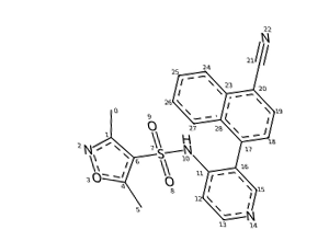 Cc1noc(C)c1S(=O)(=O)Nc1ccncc1-c1ccc(C#N)c2ccccc12